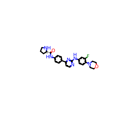 O=C(Nc1ccc(-c2ccnc(Nc3ccc(N4CCOCC4)c(F)c3)n2)cc1)[C@@H]1CCCN1